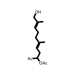 CC(=O)OC(C/C=C(\C)CC/C=C(\C)CO)C(C)=O